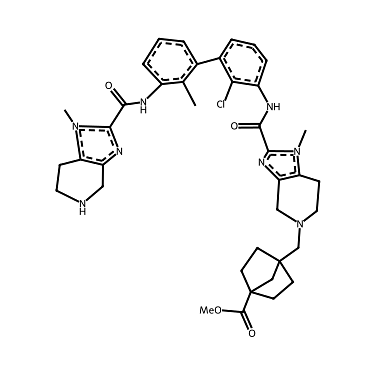 COC(=O)C12CCC(CN3CCc4c(nc(C(=O)Nc5cccc(-c6cccc(NC(=O)c7nc8c(n7C)CCNC8)c6C)c5Cl)n4C)C3)(CC1)C2